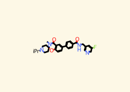 CC(C)N1CCC2(CC1)Oc1ccc(-c3ccc(C(=O)NCc4cncc(F)c4)cc3)cc1C(=O)N2C